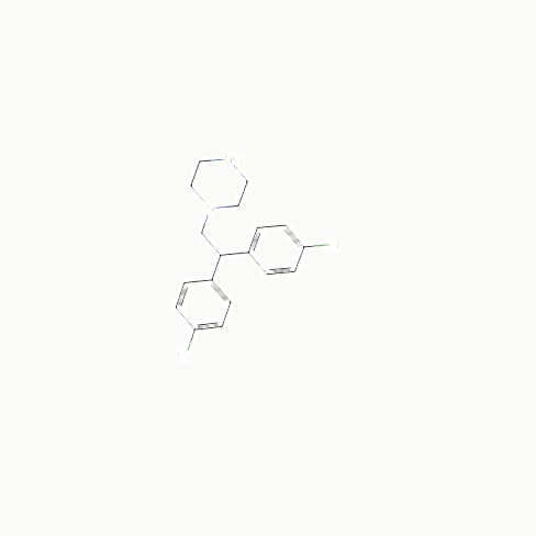 Clc1ccc(C(CN2CCNCC2)c2ccc(Cl)cc2)cc1